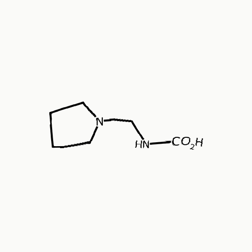 O=C(O)NCN1CCCC1